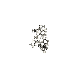 C[C@@H]1CC[C@@H](Oc2ncccc2[C@@H](C)O)CN1C(=O)c1ccccc1-n1nccn1